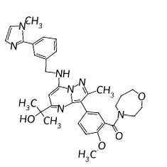 COc1ccc(-c2c(C)nn3c(NCc4cccc(-c5nccn5C)c4)cc(C(C)(C)O)nc23)cc1C(=O)N1CCCOCC1